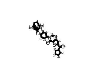 CN1[C@@H]2CC[C@H]1C[C@@H](Oc1ccc(-n3cnc4cc(C(=O)C5CCCC5)sc4c3=O)cc1)C2